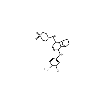 Cc1ccc(NC2N=CC(C(=O)N3CCS(=O)(=O)CC3)=C3C4CCC(C4)C32)cc1Cl